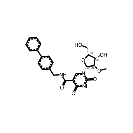 CO[C@@H]1[C@@H](O)[C@@H](CO)O[C@H]1n1cc(C(=O)NCc2ccc(-c3ccccc3)cc2)c(=O)[nH]c1=O